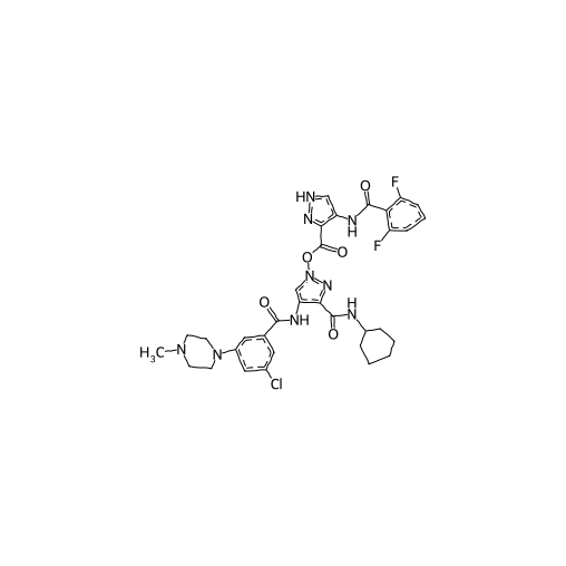 CN1CCN(c2cc(Cl)cc(C(=O)Nc3cn(OC(=O)c4n[nH]cc4NC(=O)c4c(F)cccc4F)nc3C(=O)NC3CCCCC3)c2)CC1